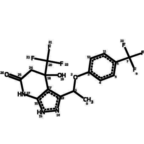 CC(Oc1ccc(C(F)(F)F)cc1)c1n[nH]c2c1C(O)(C(F)(F)F)CC(=O)N2